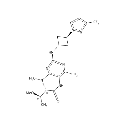 CO[C@H](C)[C@H]1C(=O)Nc2c(C)nc(N[C@H]3C[C@H](n4ccc(C(F)(F)F)n4)C3)nc2N1C